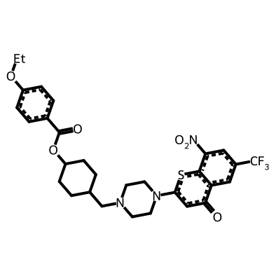 CCOc1ccc(C(=O)OC2CCC(CN3CCN(c4cc(=O)c5cc(C(F)(F)F)cc([N+](=O)[O-])c5s4)CC3)CC2)cc1